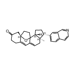 C[C@]12CC=C3C=C4CCC(=O)C[C@]45CCC3(O5)[C@@H]1CC[C@@H]2c1ccc2ccncc2c1